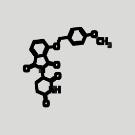 COc1ccc(COc2cccc3c2C(=O)N(C2CCC(=O)NC2=O)C3=O)cc1